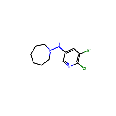 Clc1ncc(NN2CCCCCC2)cc1Br